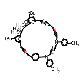 Cc1ccc(N2c3ccc(cc3)-c3ccc(cc3)-c3cc(C(C)(C)C)cc(c3)C(C)(C)CC(C)(C)c3cc(cc(C(C)(C)C)c3)-c3ccc(cc3)-c3ccc(cc3)N(c3ccc(C)cc3)c3ccc2cc3)cc1